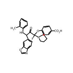 Cc1ccccc1NC(C(=O)C(F)(Oc1ccc(C(=O)O)cc1)N1CCCC1)c1ccc2ncoc2c1